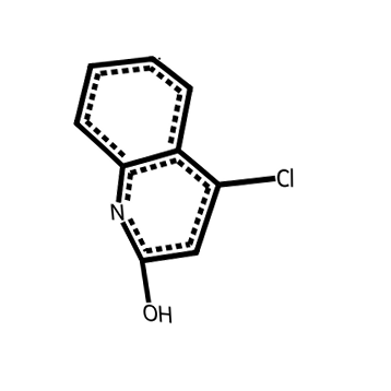 Oc1cc(Cl)c2c[c]ccc2n1